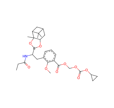 CCC(=O)NC(Cc1cccc(C(=O)OCOC(=O)OC2CC2)c1OC)B1OC2CC3CC(C3(C)C)C2(C)O1